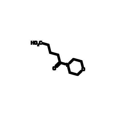 O=C(O)CCCC(=O)N1CCOCC1